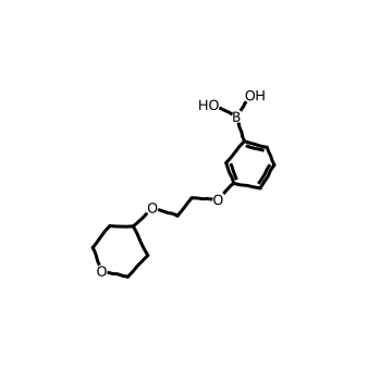 OB(O)c1cccc(OCCOC2CCOCC2)c1